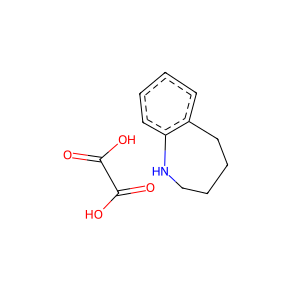 O=C(O)C(=O)O.c1ccc2c(c1)CCCCN2